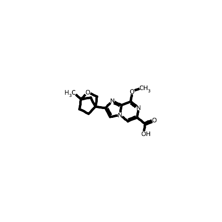 COc1nc(C(=O)O)cn2cc(C34CCC(C)(C3)OC4)nc12